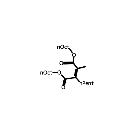 CCCCCCCCOC(=O)/C(C)=C(/CCCCC)C(=O)OCCCCCCCC